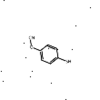 N#COc1ccc(S)cc1